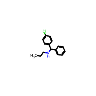 CCCNC(c1ccccc1)c1ccc(Cl)cc1